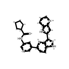 O=C(Nc1cncc(-c2ccc3[nH]nc(-c4cc5ncccc5[nH]4)c3n2)c1)C1CCCC1